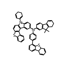 CC1(C)C2=C(C=CCC2)c2ccc(N(c3ccc(-c4cccc5c4SC4C=CC=CC54)cc3)c3ccc4c(c3)c3c5c(ccc3n4C3=CCCC=C3)sc3ccccc35)cc21